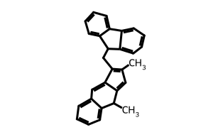 CC1=C(CC2c3ccccc3-c3ccccc32)C2=Cc3ccccc3C(C)C2=C1